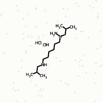 CC(C)CNCCCCCCN(N)CC(C)C.Cl.Cl